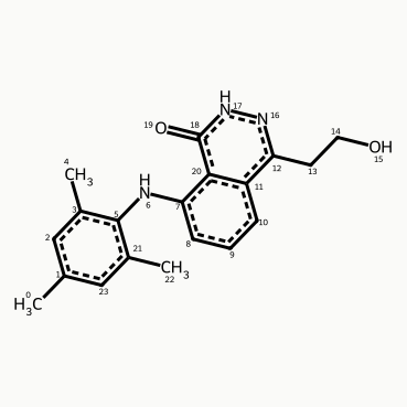 Cc1cc(C)c(Nc2cccc3c(CCO)n[nH]c(=O)c23)c(C)c1